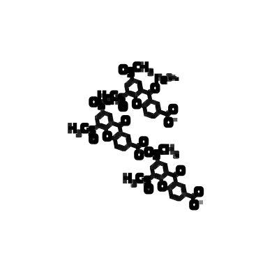 CS(=O)c1cc(S(C)=O)c2oc3ccc(C(=O)[O-])cc3c(=O)c2c1.CS(=O)c1cc(S(C)=O)c2oc3ccc(C(=O)[O-])cc3c(=O)c2c1.CS(=O)c1cc(S(C)=O)c2oc3ccc(C(=O)[O-])cc3c(=O)c2c1.[Fe+3]